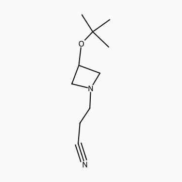 CC(C)(C)OC1CN(CCC#N)C1